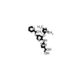 Cc1cc(Oc2cc(SC(C)c3ccccn3)cnc2Nc2nc(C(O)CO)cs2)n(C)n1